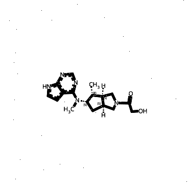 C[C@@H]1[C@H]2CN(C(=O)CO)C[C@H]2C[C@@H]1N(C)c1ncnc2[nH]ccc12